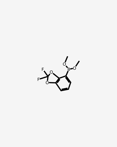 COB(OC)c1cccc2c1OC(F)(F)O2